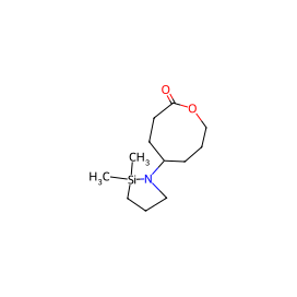 C[Si]1(C)CCCN1C1CCCOC(=O)CC1